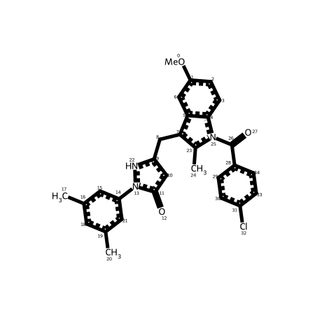 COc1ccc2c(c1)c(Cc1cc(=O)n(-c3cc(C)cc(C)c3)[nH]1)c(C)n2C(=O)c1ccc(Cl)cc1